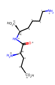 NCCCC[C@@H](NC(=O)[C@H](N)CCC(=O)O)C(=O)O